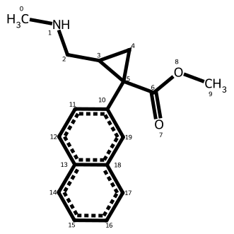 CNCC1CC1(C(=O)OC)c1ccc2ccccc2c1